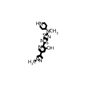 CN(c1nc2sc(-c3ncc(-c4cnn(C)c4)cc3O)nc2s1)C1CCNCC1